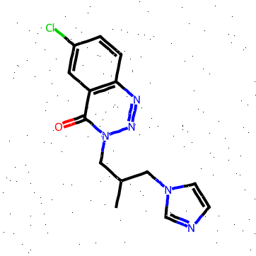 CC(Cn1ccnc1)Cn1nnc2ccc(Cl)cc2c1=O